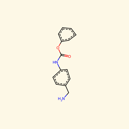 NCc1ccc(NC(=O)Oc2ccccc2)cc1